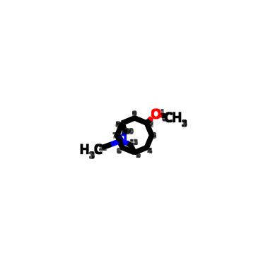 COC1CCC2CCC(C1)CN(C)C2